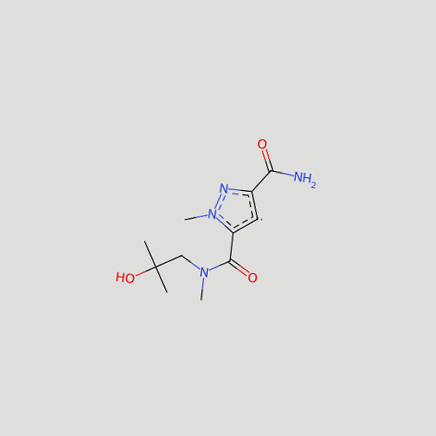 CN(CC(C)(C)O)C(=O)c1[c]c(C(N)=O)nn1C